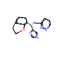 c1cnnc(C[C@H](c2c[nH]cn2)c2cccc3c2OCC3)c1